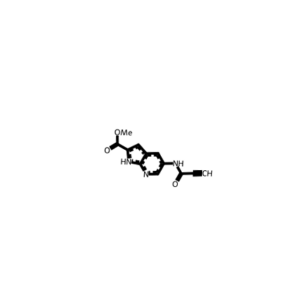 C#CC(=O)Nc1cnc2[nH]c(C(=O)OC)cc2c1